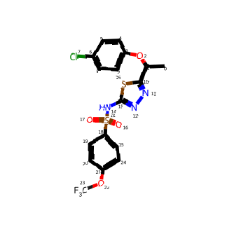 CC(Oc1ccc(Cl)cc1)c1nnc(NS(=O)(=O)c2ccc(OC(F)(F)F)cc2)s1